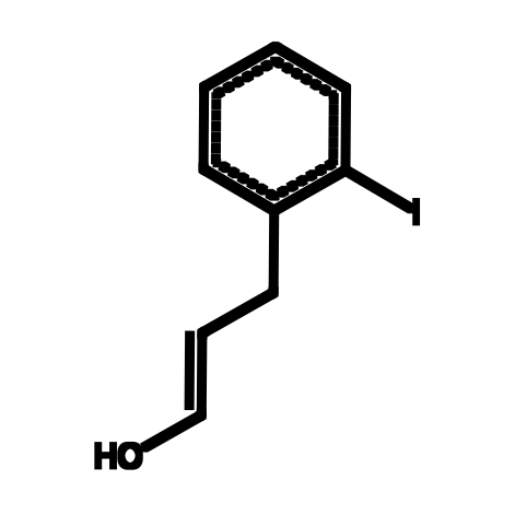 OC=CCc1ccccc1I